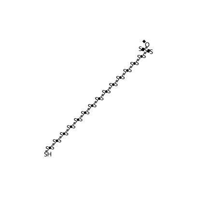 COS(=S)(=S)SSSSSSSSSSSSSSSSSSSSSSSSSSSSS